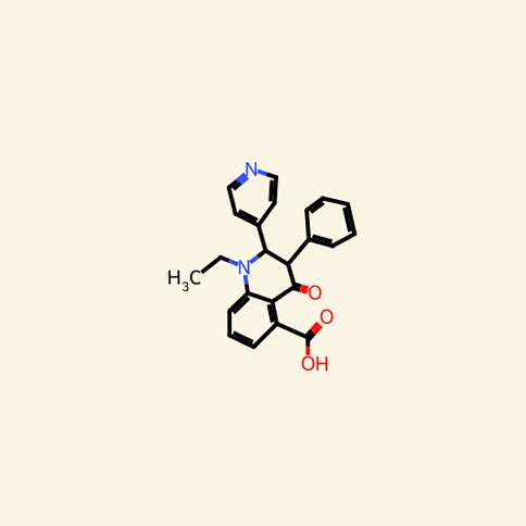 CCN1c2cccc(C(=O)O)c2C(=O)C(c2ccccc2)C1c1ccncc1